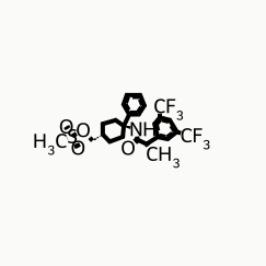 CC(C(=O)N[C@]1(c2ccccc2)CC[C@@H](COS(C)(=O)=O)CC1)c1cc(C(F)(F)F)cc(C(F)(F)F)c1